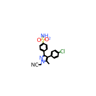 Cc1c(-c2ccc(Cl)cc2)c(-c2ccc(S(N)(=O)=O)cc2)nn1CC#N